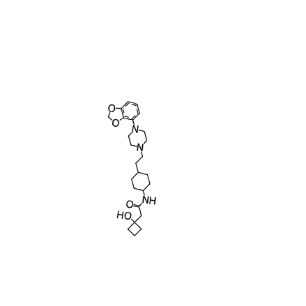 O=C(CC1(O)CCC1)NC1CCC(CCN2CCN(c3cccc4c3OCO4)CC2)CC1